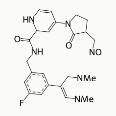 CN/C=C(\CNC)c1cc(F)cc(CNC(=O)C2C=C(N3CCC(CN=O)C3=O)C=CN2)c1